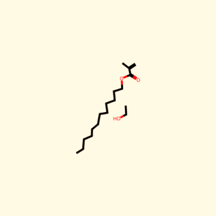 C=C(C)C(=O)OCCCCCCCCCCCC.CCO